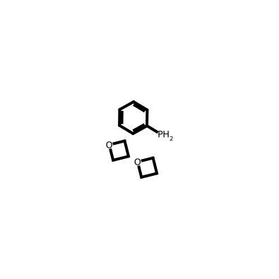 C1COC1.C1COC1.Pc1ccccc1